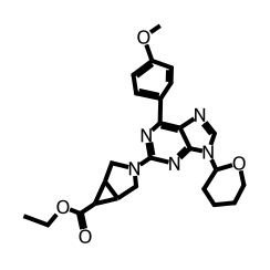 CCOC(=O)C1C2CN(c3nc(-c4ccc(OC)cc4)c4ncn(C5CCCCO5)c4n3)CC21